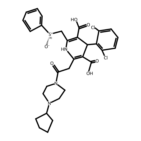 O=C(O)C1=C(CC(=O)N2CCN(C3CCCC3)CC2)NC(C[S@+]([O-])c2ccccc2)=C(C(=O)O)C1c1c(Cl)cccc1Cl